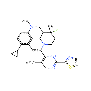 CCOC(=O)C1=C(CN2CCC(C)(F)C(CN(C=O)c3ccc(C4CC4)c(C(=O)O)c3)C2)NC(c2nccs2)=NC1